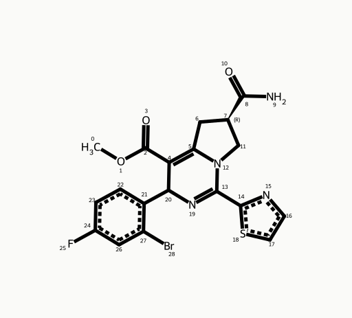 COC(=O)C1=C2C[C@@H](C(N)=O)CN2C(c2nccs2)=NC1c1ccc(F)cc1Br